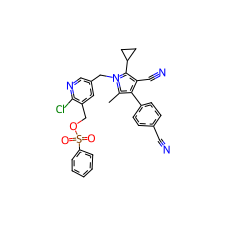 Cc1c(-c2ccc(C#N)cc2)c(C#N)c(C2CC2)n1Cc1cnc(Cl)c(COS(=O)(=O)c2ccccc2)c1